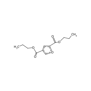 CCCOC(=O)c1coc(C(=O)OCCC)c1